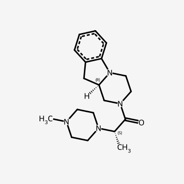 C[C@@H](C(=O)N1CCN2c3ccccc3C[C@@H]2C1)N1CCN(C)CC1